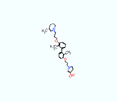 Cc1c(OCCCN2CCC[C@@H](C)C2)cccc1-c1cccc(OCCCN2CC[C@@H](O)C2)c1C